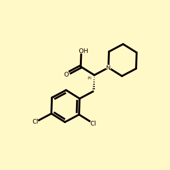 O=C(O)[C@@H](Cc1ccc(Cl)cc1Cl)N1CCCCC1